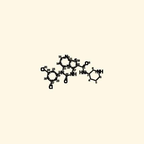 O=C(N[C@@H]1CCCNC1)c1sc2nccc3c2c1NC(=O)N3c1cc(Cl)cc(Cl)c1